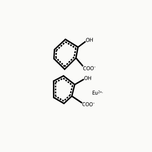 O=C([O-])c1ccccc1O.O=C([O-])c1ccccc1O.[Eu+2]